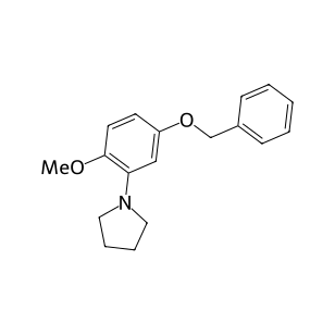 COc1ccc(OCc2ccccc2)cc1N1CCCC1